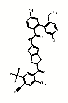 COc1cnc(Cl)cc1-c1cc(C)ncc1C(=O)Nc1nc2c(s1)CN(C(=O)c1nc(C(F)(F)F)c(C#N)cc1C)C2